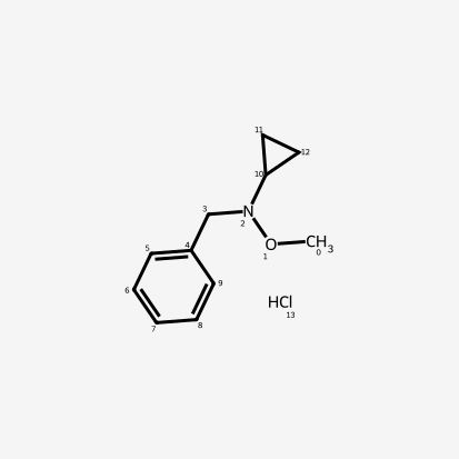 CON(Cc1ccccc1)C1CC1.Cl